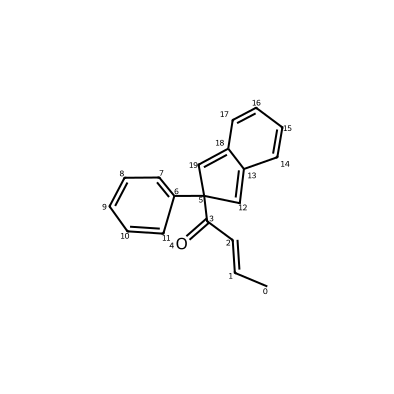 C/C=C/C(=O)C1(c2ccccc2)C=c2ccccc2=C1